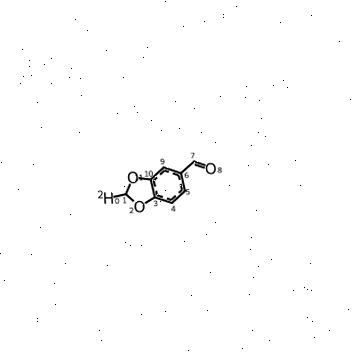 [2H]C1Oc2ccc(C=O)cc2O1